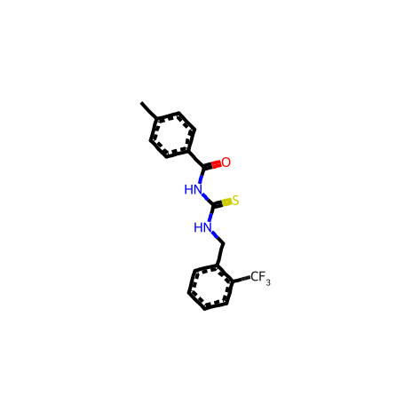 Cc1ccc(C(=O)NC(=S)NCc2ccccc2C(F)(F)F)cc1